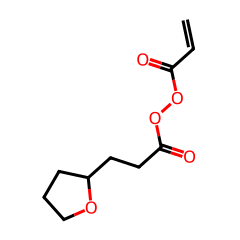 C=CC(=O)OOC(=O)CCC1CCCO1